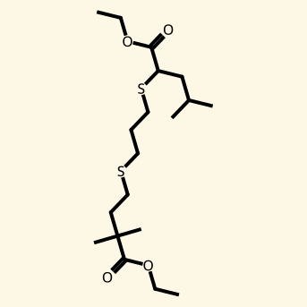 CCOC(=O)C(CC(C)C)SCCCSCCC(C)(C)C(=O)OCC